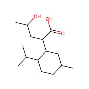 CC(O)CC(C(=O)O)C1CC(C)CCC1C(C)C